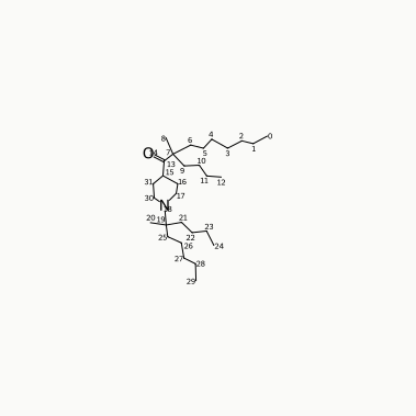 CCCCCCCC(C)(CCCC)C(=O)C1CCN(C(C)(CCCC)CCCCC)CC1